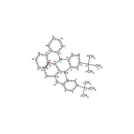 CC(C)(C)c1ccc2c(c1)B1c3cc(C(C)(C)C)ccc3N(c3ccccc3-c3ccccc3)c3cccc(c31)O2